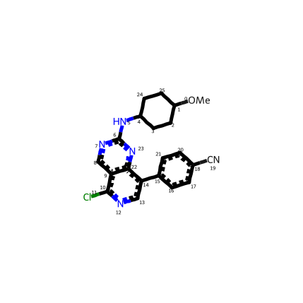 COC1CCC(Nc2ncc3c(Cl)ncc(-c4ccc(C#N)cc4)c3n2)CC1